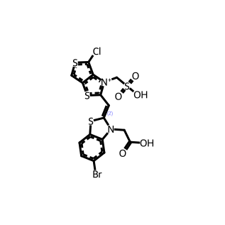 O=C(O)CN1/C(=C/c2sc3csc(Cl)c3[n+]2CS(=O)(=O)O)Sc2ccc(Br)cc21